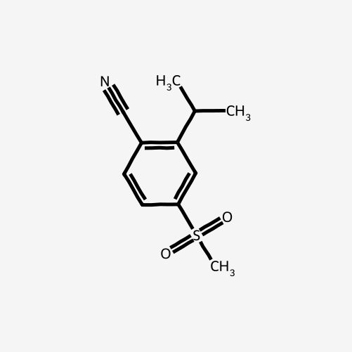 CC(C)c1cc(S(C)(=O)=O)ccc1C#N